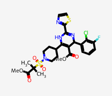 COC(=O)C1=C(C2CCN(S(=O)(=O)C(C)(C)C(=O)OC)CC2)NC(c2nccs2)=NC1c1cccc(F)c1Cl